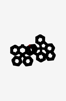 c1ccc(C2(c3ccccc3)c3ccccc3Oc3ccc(-c4ccccc4C4(c5ccccc5)c5ccccc5-c5ccc6ccccc6c54)cc32)cc1